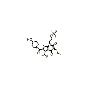 CCCn1c(=O)c2c(C(F)F)c(C(=O)N3CCC(O)CC3)sc2n(CCOC(F)(F)F)c1=O